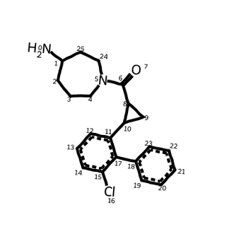 NC1CCCN(C(=O)C2CC2c2cccc(Cl)c2-c2ccccc2)CC1